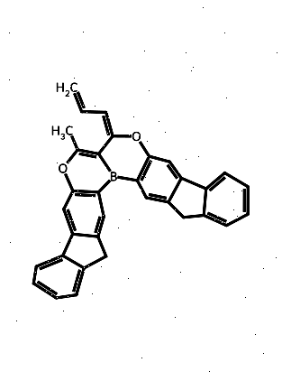 C=C/C=C1/Oc2cc3c(cc2B2C1=C(C)Oc1cc4c(cc12)Cc1ccccc1-4)Cc1ccccc1-3